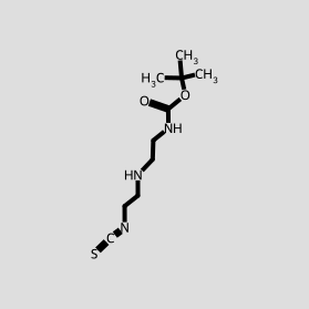 CC(C)(C)OC(=O)NCCNCCN=C=S